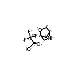 C1OC2CNC1C2.O=C(O)C(F)(F)F